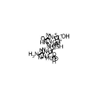 Nc1nc2c(ncn2[C@@H]2S[C@H](CO)[C@H](F)[C@H]2OP(=O)(S)OCC2=C(O[PH](=O)O)[C@H](F)[C@H](n3nnc4c(N)ncnc43)O2)c(=O)[nH]1